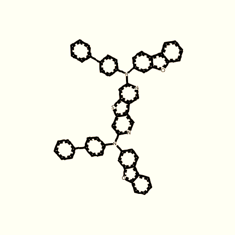 c1ccc(-c2ccc(N(c3ccc4c(c3)oc3ccccc34)c3cc4sc5cc(N(c6ccc(-c7ccccc7)cc6)c6ccc7c(c6)oc6ccccc67)ncc5c4cn3)cc2)cc1